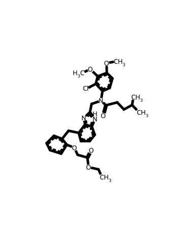 CCOC(=O)COc1ccccc1Cc1cccc2[nH]c(CN(C(=O)CCC(C)C)c3ccc(OC)c(OC)c3Cl)nc12